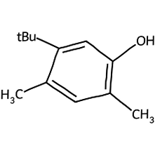 Cc1cc(C)c(C(C)(C)C)cc1O